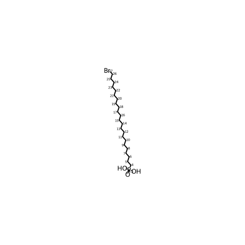 O=P(O)(O)CCCCCCCCCCCCCCCCCCCCCCCBr